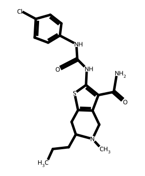 CCCC1Cc2sc(NC(=O)Nc3ccc(Cl)cc3)c(C(N)=O)c2CN1C